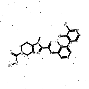 Cn1c(C(=O)Nc2cccc(-c3ccnc(Cl)c3Cl)c2Cl)nc2c1CCN(C(=O)OC(C)(C)C)C2